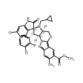 COC(=O)c1cc2c3n(nc2cc1C)[C@@H]1[C@H](CO3)N(CC2CC2)[C@@]2(C(=O)Nc3cc(Cl)ccc32)[C@H]1c1cccc(Cl)c1F